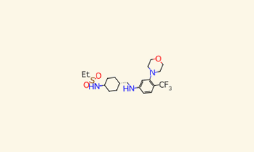 CCS(=O)(=O)N[C@H]1CC[C@H](CNc2ccc(C(F)(F)F)c(N3CCOCC3)c2)CC1